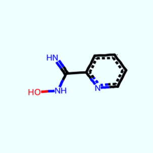 N=C(NO)c1c[c]ccn1